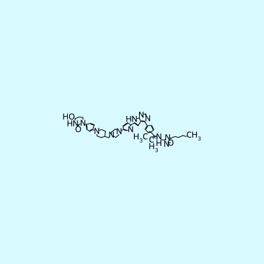 CCCCCc1nc(CN[C@H](C)c2ccc(-c3ncnc4[nH]c(-c5ccc(N6CCN(CC7CCN(c8ccc(N9CCC(O)NC9=O)cc8)CC7)CC6)cn5)cc34)cc2C)no1